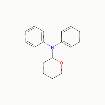 c1ccc(N(c2ccccc2)C2CCCCO2)cc1